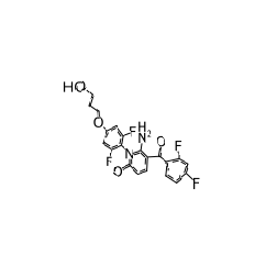 Nc1c(C(=O)c2ccc(F)cc2F)ccc(=O)n1-c1c(F)cc(OCCCO)cc1F